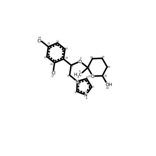 CC1(OC(Cn2ccnc2)c2ccc(Cl)cc2Cl)CCCC(O)O1